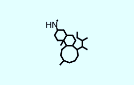 CCC(C)C(C)C1CCCC(C)CCC2C1CCC1CC(NC)CCC12C